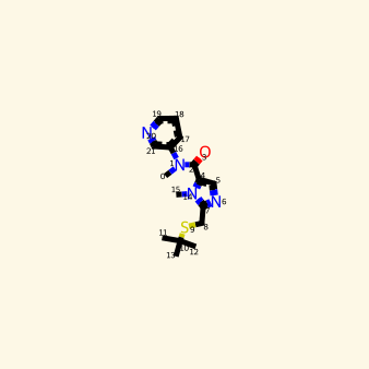 CN(C(=O)c1cnc(CSC(C)(C)C)n1C)c1cccnc1